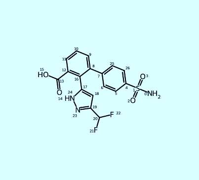 NS(=O)(=O)c1ccc(-c2cccc(C(=O)O)c2-c2cc(C(F)F)n[nH]2)cc1